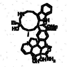 CCC1(O)CNCCc2c([nH]c3ccccc23)[C@@](C(=O)OC)(c2cc3c(cc2OC)N(C)C2[C@]34CCN3CC=C[C@](CC)(C34)[C@@H](O)[C@]2(O)C(N)=O)C[C@H](C)C1